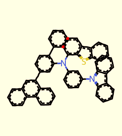 c1ccc(-c2ccc(-c3cc4ccccc4c4ccccc34)cc2N(c2cccc(-n3c4ccccc4c4ccccc43)c2)c2cccc3c2sc2ccccc23)cc1